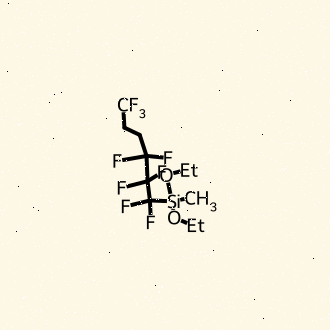 CCO[Si](C)(OCC)C(F)(F)C(F)(F)C(F)(F)CCC(F)(F)F